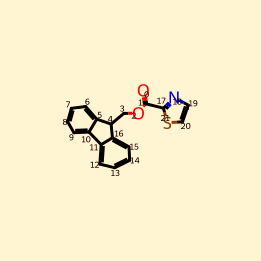 O=C(OCC1c2ccccc2-c2ccccc21)c1n[c]cs1